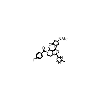 CN[C@@H]1CC(=O)N(c2nc(-c3nc(C)ns3)n3c2C(C)N(C(=O)c2ccc(F)cc2)CC3)C1